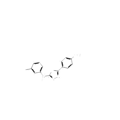 Oc1ccc(-c2nnc(Nc3cccc(Cl)c3)o2)cc1